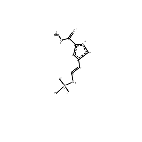 CC(C)(C)OC(=O)c1cc(C=CO[Si](C)(C)C)cs1